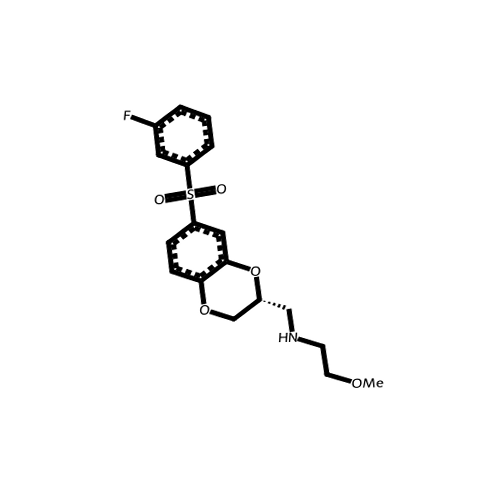 COCCNC[C@@H]1COc2ccc(S(=O)(=O)c3cccc(F)c3)cc2O1